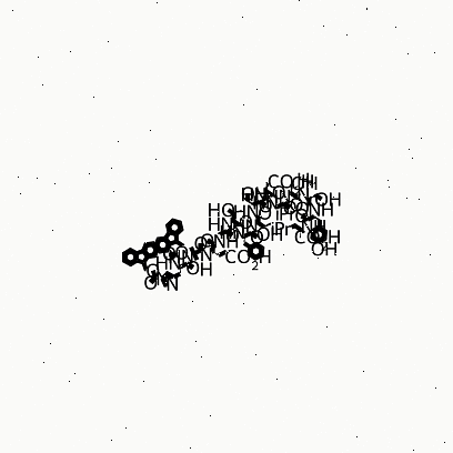 CC(C)C[C@H](NC(=O)[C@H](Cc1ccc(O)cc1)NC(=O)[C@H](CO)NC(=O)[C@H](CO)NC(=O)[C@@H](NC(=O)[C@H](CC(=O)O)NC(=O)[C@H](CO)NC(=O)[C@@H](NC(=O)[C@H](Cc1ccccc1)NC(=O)[C@@H](NC(=O)CNC(=O)[C@H](CCC(=O)O)NC(=O)C(C)(C)NC(=O)[C@H](Cc1cn(C(=O)OCC2c3ccccc3-c3ccccc32)cn1)NC(=O)OCC1c2ccccc2-c2ccccc21)[C@@H](C)O)[C@@H](C)O)C(C)C)C(=O)O